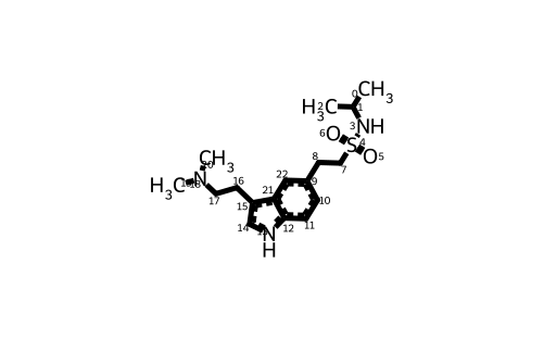 CC(C)NS(=O)(=O)CCc1ccc2[nH]cc(CCN(C)C)c2c1